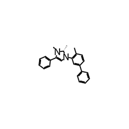 Cc1ccc(-c2ccccc2)cc1N1C=C(c2ccccc2)N(C)[C@@H]1C